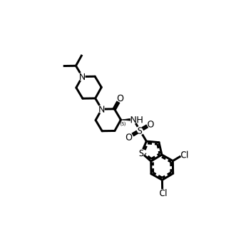 CC(C)N1CCC(N2CCC[C@H](NS(=O)(=O)c3cc4c(Cl)cc(Cl)cc4s3)C2=O)CC1